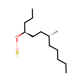 CCCCC[C@@H](C)CC[C@H](CCC)OB=S